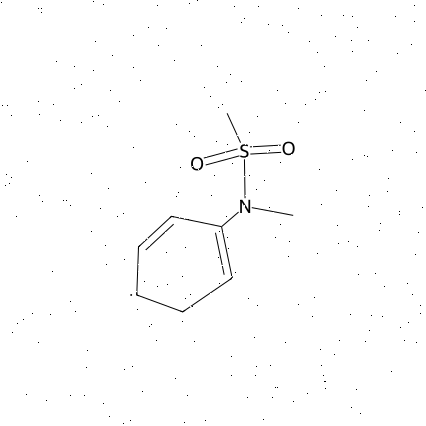 CN(C1=CC[CH]C=C1)S(C)(=O)=O